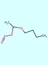 CCCCOC(C)OP=O